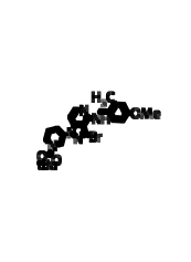 COc1ccc(CNc2nccc3c2c(Br)nn3[C@@H]2CCCN(C(=O)OC(C)(C)C)C2)c(C)c1